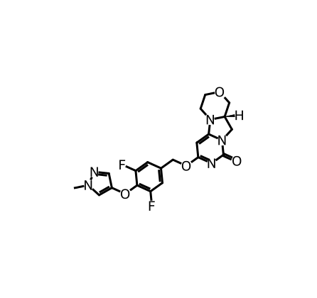 Cn1cc(Oc2c(F)cc(COc3cc4n(c(=O)n3)C[C@H]3COCCN43)cc2F)cn1